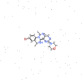 Cc1nc(NC(C)c2cccc(Br)c2)c2nc(N3CCOCC3)ncc2n1